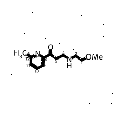 COCCNCCC(=O)c1cccc(C)n1